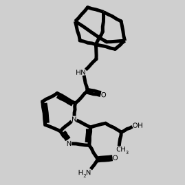 CC(O)Cc1c(C(N)=O)nc2cccc(C(=O)NCC34CC5CC(CC(C5)C3)C4)n12